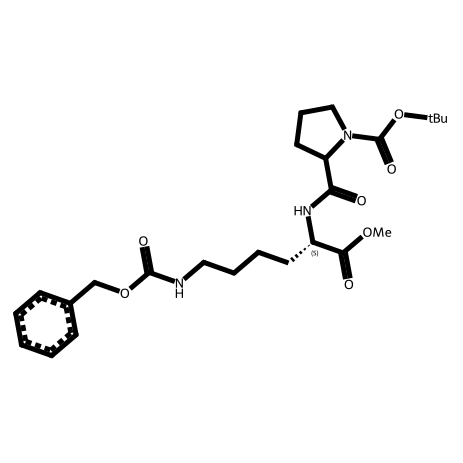 COC(=O)[C@H](CCCCNC(=O)OCc1ccccc1)NC(=O)C1CCCN1C(=O)OC(C)(C)C